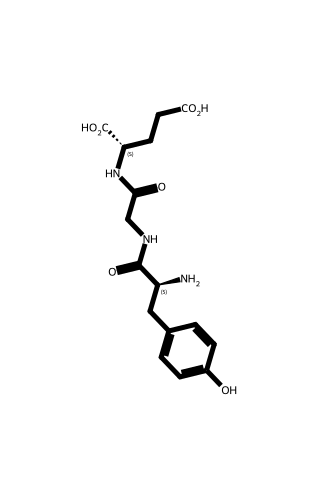 N[C@@H](Cc1ccc(O)cc1)C(=O)NCC(=O)N[C@@H](CCC(=O)O)C(=O)O